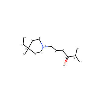 CCC1(C)CCN(CCCC(=O)C(C)C)CC1